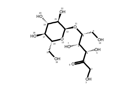 O=C(CO)[C@@H](O)[C@H](O)[C@@H](CO)O[C@H]1O[C@H](CO)[C@@H](O)[C@H](O)[C@H]1O